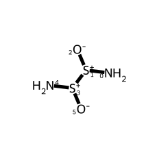 N[S+]([O-])[S+](N)[O-]